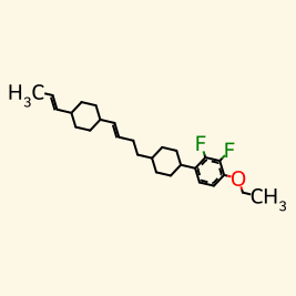 C/C=C/C1CCC(/C=C/CCC2CCC(c3ccc(OCC)c(F)c3F)CC2)CC1